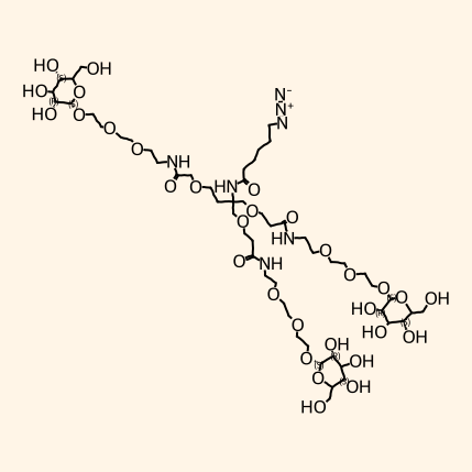 [N-]=[N+]=NCCCCCC(=O)NC(CCOCC(=O)NCCOCCOCCO[C@H]1OC(CO)[C@@H](O)C(O)[C@H]1O)(COCCC(=O)NCCOCCOCCO[C@H]1OC(CO)[C@@H](O)C(O)[C@H]1O)COCCC(=O)NCCOCCOCCO[C@H]1OC(CO)[C@@H](O)C(O)[C@H]1O